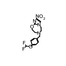 O=[N+]([O-])c1cn2c(n1)OCCN(Cc1ccc(OC(F)F)cc1)CC2